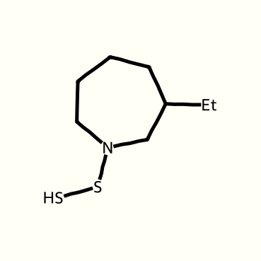 CCC1CCCCN(SS)C1